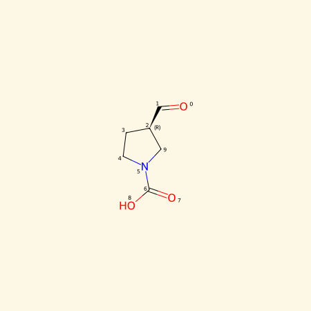 O=C[C@@H]1CCN(C(=O)O)C1